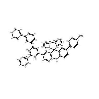 N#Cc1ccc(-c2ccc3c(c2)C2(c4cc(-c5cc(-c6cccc(-c7ccccc7)c6)nc(-c6ccccc6)n5)ccc4S3)c3ccccc3-c3ccccc32)cc1